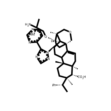 CC(C)[C@@H](C)[C@@]1(C)CC[C@]2(C)C3CC[C@@H]4[C@@]5(COC[C@]4(C)[C@@H](OC[C@](C)(N)C(C)(C)C)[C@H](n4ncnc4-c4ccncn4)C5)C3=CC[C@@]2(C)[C@@H]1C(=O)O